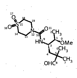 CO[C@H](C)[C@@H](CC(C)(C)C=O)NC(=O)N1CCS(=O)(=O)CC1